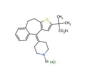 CCOC(=O)C(C)(C)c1cc2c(s1)CCc1ccccc1C2=C1CCN(CC)CC1.Cl